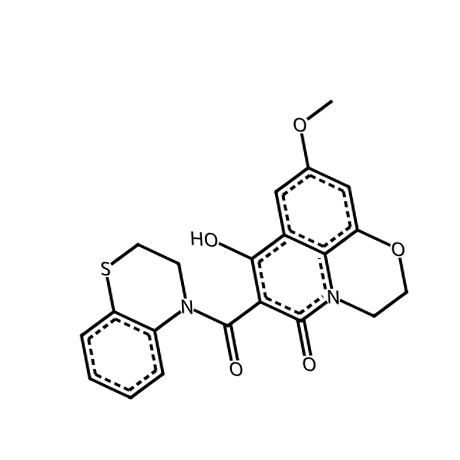 COc1cc2c3c(c1)c(O)c(C(=O)N1CCSc4ccccc41)c(=O)n3CCO2